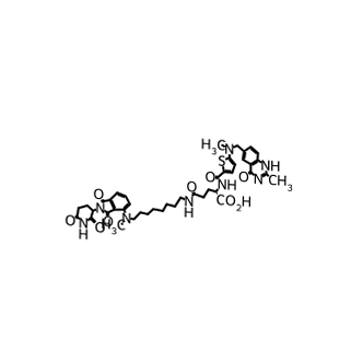 Cc1nc(=O)c2cc(CN(C)c3ccc(C(=O)N[C@@H](CCC(=O)NCCCCCCCCN(C)c4cccc5c4C(=O)N(C4CCC(=O)NC4=O)C5=O)C(=O)O)s3)ccc2[nH]1